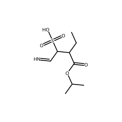 CCC(C(=O)OC(C)C)C(C=N)S(=O)(=O)O